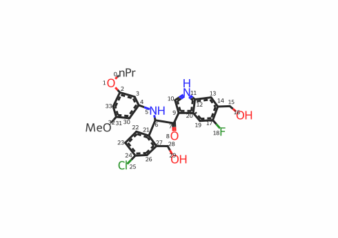 CCCOc1cc(NC(C(=O)c2c[nH]c3cc(CO)c(F)cc23)c2ccc(Cl)cc2CO)cc(OC)c1